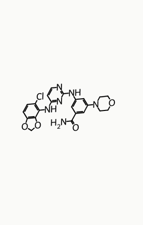 NC(=O)c1cc(Nc2nccc(Nc3c(Cl)ccc4c3OCO4)n2)cc(N2CCOCC2)c1